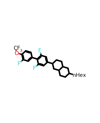 CCCCCCC1CCC2CC(c3cc(F)c(-c4ccc(OC(F)(F)F)c(F)c4)c(F)c3)CCC2C1